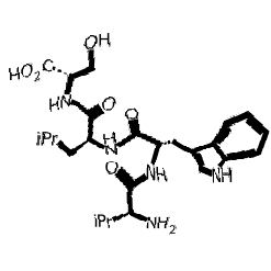 CC(C)C[C@H](NC(=O)[C@H](Cc1c[nH]c2ccccc12)NC(=O)[C@@H](N)C(C)C)C(=O)N[C@@H](CO)C(=O)O